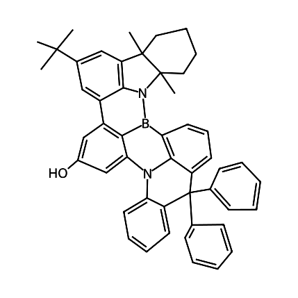 CC(C)(C)c1cc2c3c(c1)C1(C)CCCCC1(C)N3B1c3cccc4c3N(c3ccccc3C4(c3ccccc3)c3ccccc3)c3cc(O)cc-2c31